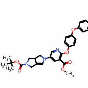 COC(=O)c1cc(N2C=C3CN(C(=O)OC(C)(C)C)CC3C2)cnc1Oc1ccc(Oc2ccccc2)cc1